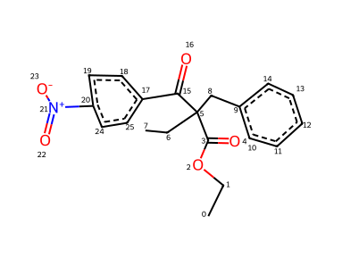 CCOC(=O)C(CC)(Cc1ccccc1)C(=O)c1ccc([N+](=O)[O-])cc1